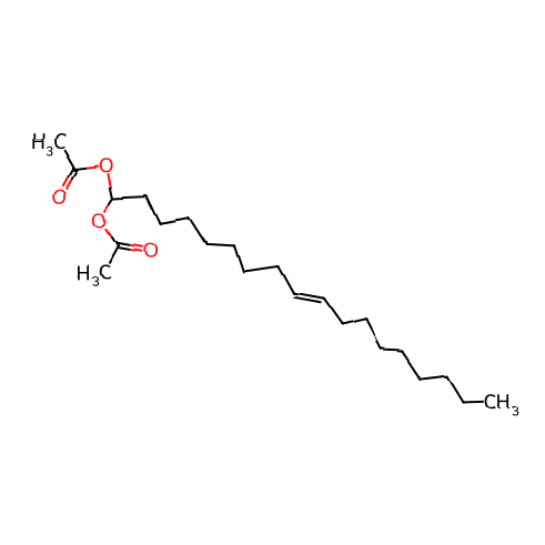 CCCCCCCCC=CCCCCCCCC(OC(C)=O)OC(C)=O